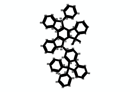 CC1(C)c2ccccc2-c2c1c1c(c3ccccc3n1-c1ccc3c(c1)C(c1ccccc1)(c1ccccc1)c1ccccc1-3)c1c3ccccc3n(-c3ccccc3)c21